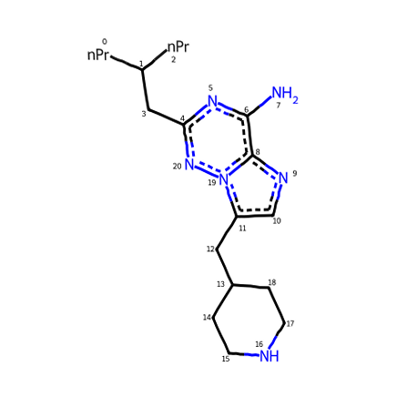 CCCC(CCC)Cc1nc(N)c2ncc(CC3CCNCC3)n2n1